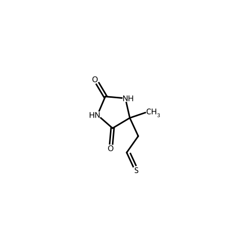 CC1(CC=S)NC(=O)NC1=O